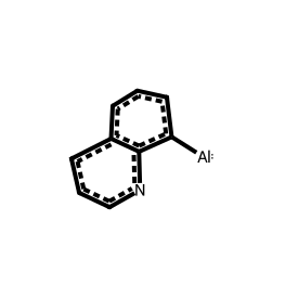 [Al][c]1cccc2cccnc12